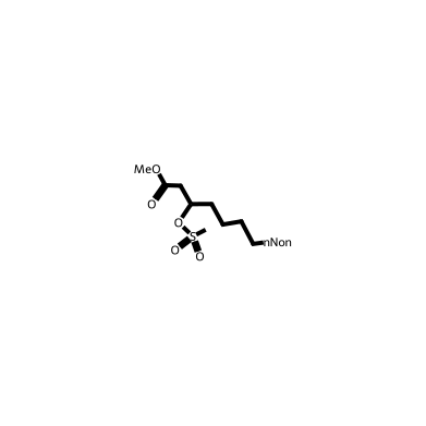 CCCCCCCCCCCCCC(CC(=O)OC)OS(C)(=O)=O